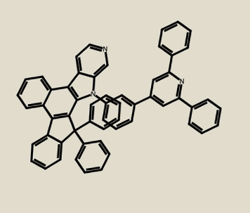 c1ccc(-c2cc(-c3cccc(-n4c5cnccc5c5c6ccccc6c6c(c54)C(c4ccccc4)(c4ccccc4)c4ccccc4-6)c3)cc(-c3ccccc3)n2)cc1